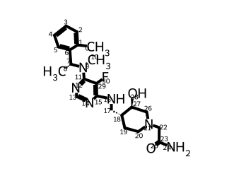 Cc1ccccc1[C@@H](C)N(C)c1ncnc(NC[C@H]2CCN(CC(N)=O)C[C@@H]2O)c1F